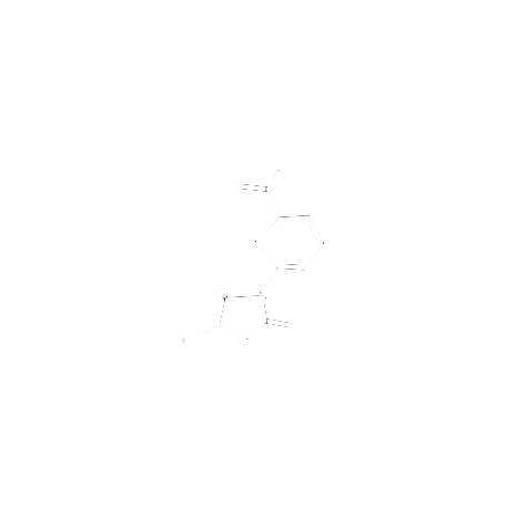 CC(C)C(=O)c1cccc(N2C(=O)CC(C(C)C)C2=O)c1